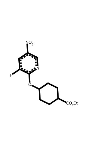 CCOC(=O)C1CCC(Oc2ncc([N+](=O)[O-])cc2F)CC1